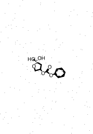 O=C(Oc1ccccc1)OC1COS(O)(O)C1